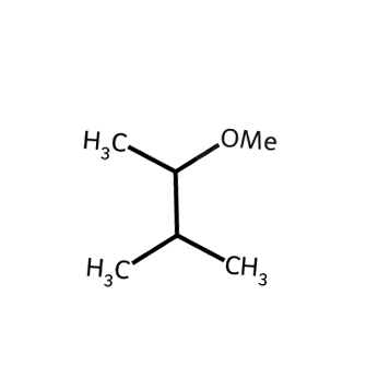 [CH2]OC(C)C(C)C